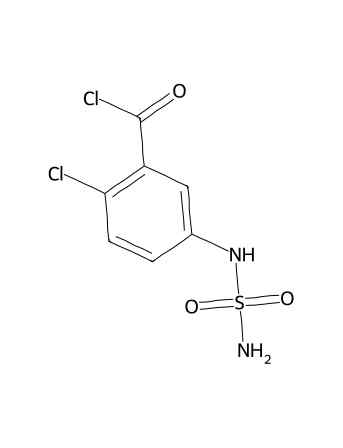 NS(=O)(=O)Nc1ccc(Cl)c(C(=O)Cl)c1